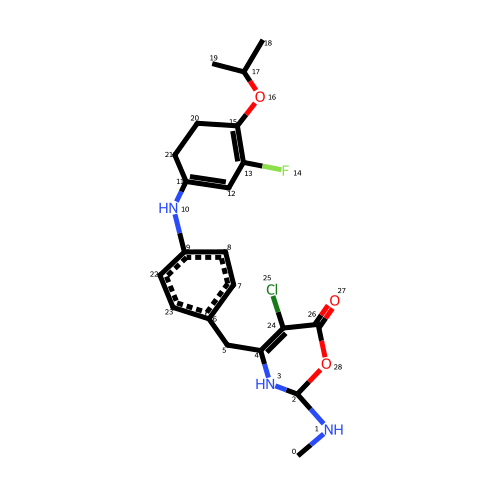 CNC1NC(Cc2ccc(NC3=CC(F)=C(OC(C)C)CC3)cc2)=C(Cl)C(=O)O1